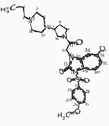 CCCN1CCN(C2CCN(C(=O)Cn3c(=O)n(S(=O)(=O)c4ccc(OC)cc4)c4ccc(Cl)cc43)C2)CC1